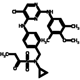 CCC(=O)S(=O)(=O)N(Cc1ccc(Nc2nc(Nc3cc(C)c(OC)c(C)c3)ncc2Cl)cc1)C1CC1